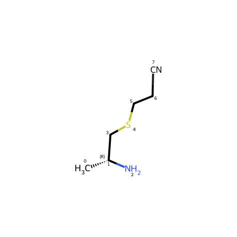 C[C@@H](N)CSCCC#N